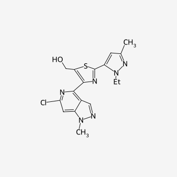 CCn1nc(C)cc1-c1nc(-c2nc(Cl)cc3c2cnn3C)c(CO)s1